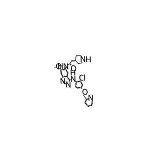 COc1cc2ncnc(Nc3ccc(OCc4ccccn4)cc3Cl)c2cc1NC(=O)C=C1CCNCC1